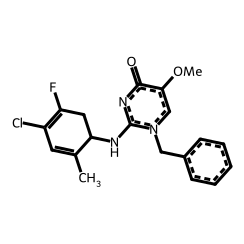 COc1cn(Cc2ccccc2)c(NC2CC(F)=C(Cl)C=C2C)nc1=O